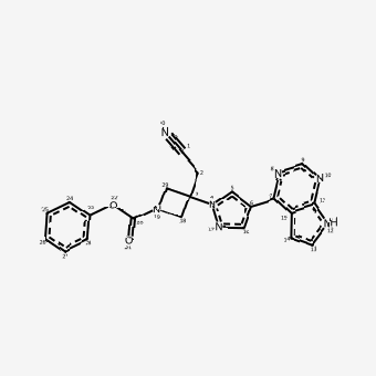 N#CCC1(n2cc(-c3ncnc4[nH]ccc34)cn2)CN(C(=O)Oc2ccccc2)C1